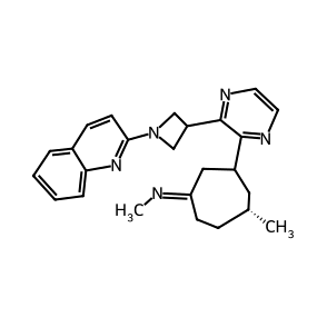 C/N=C1\CC[C@@H](C)CC(c2nccnc2C2CN(c3ccc4ccccc4n3)C2)C1